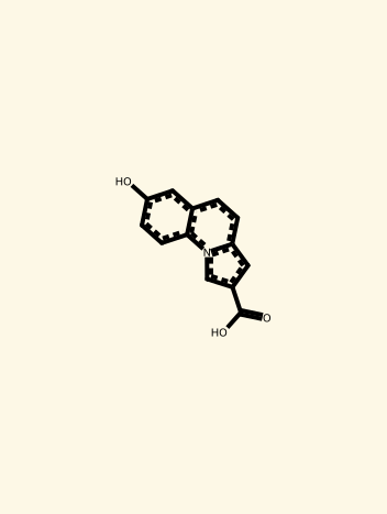 O=C(O)c1cc2ccc3cc(O)ccc3n2c1